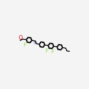 CCCc1ccc(-c2ccc(-c3ccc(/C=C/c4ccc(C5CO5)c(F)c4)cc3)c(F)c2F)cc1